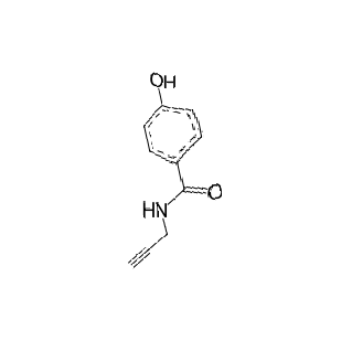 C#CCNC(=O)c1ccc(O)cc1